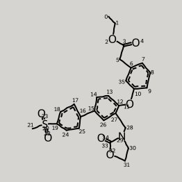 CCOC(=O)Cc1cccc(Oc2ccc(-c3ccc(S(C)(=O)=O)cc3)cc2CN2CCOC2=O)c1